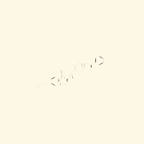 CCOCc1ccc(NC(=O)N(C)CC2CCN(CC(=O)c3ccc(F)cc3)CC2)nc1